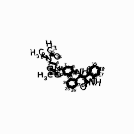 CCN(CCN(c1ccc(NC(=C2C(=O)Nc3ccccc32)c2ccccc2)cc1)S(C)(=O)=O)C(C)=O